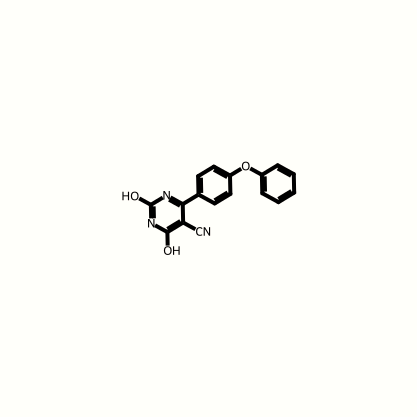 N#Cc1c(O)nc(O)nc1-c1ccc(Oc2ccccc2)cc1